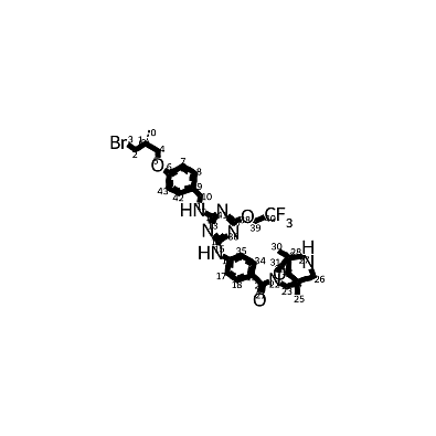 C[C@@H](CBr)COc1ccc(CNc2nc(Nc3ccc(C(=O)N4CC5(C)CNCC(C)(C4)C5=O)cc3)nc(OCC(F)(F)F)n2)cc1